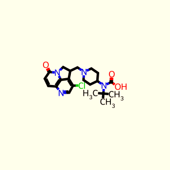 CC(C)(C)N(C(=O)O)C1CCN(CC2Cn3c(=O)ccc4ncc(Cl)c2c43)CC1